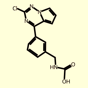 O=C(O)NCc1cccc(-c2nc(Cl)nn3cccc23)c1